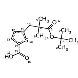 CC(C)(C)OC(=O)C(C)(C)Cc1ccc(C(=O)O)s1